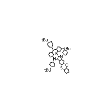 CC(C)(C)c1ccc(N2c3ccc(C(C)(C)C)cc3B3c4c2cccc4N(c2ccc(C(C)(C)C)cc2)c2c3n(-c3ccccc3)c3cc4c(cc23)Sc2ccccc2O4)cc1